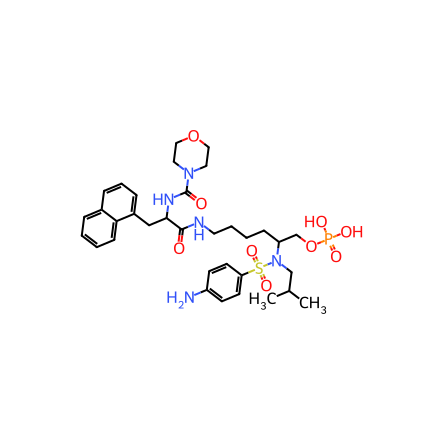 CC(C)CN(C(CCCCNC(=O)C(Cc1cccc2ccccc12)NC(=O)N1CCOCC1)COP(=O)(O)O)S(=O)(=O)c1ccc(N)cc1